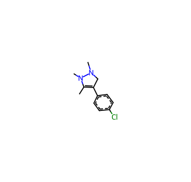 CC1=C(c2ccc(Cl)cc2)CN(C)N1C